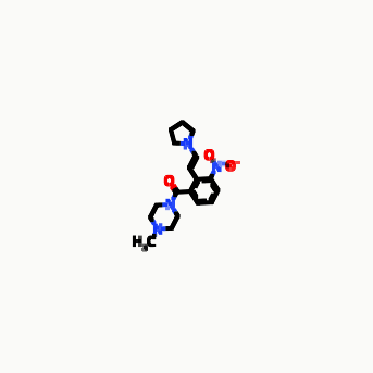 CN1CCN(C(=O)c2cccc([N+](=O)[O-])c2C=CN2CCCC2)CC1